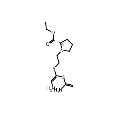 C=C(N)S/C(=C\N)SCCN1CCC[C@H]1C(=O)OCC